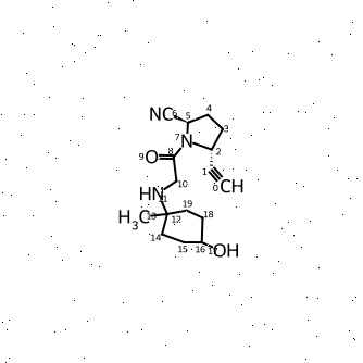 C#C[C@H]1CC[C@H](C#N)N1C(=O)CNC1(C)CCC(O)CC1